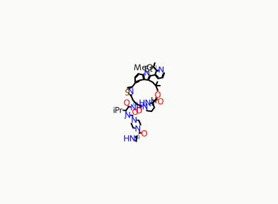 CCn1c(-c2cccnc2[C@H](C)OC)c2c3cc(ccc31)-c1csc(n1)C[C@H](NC(=O)C(C(C)C)N(C)C(=O)N1CCN(C(=O)[C@@H]3CN3)CC1)C(=O)N1CCC[C@H](N1)C(=O)OCC(C)(C)C2